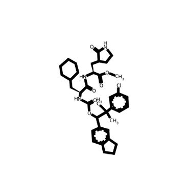 COC(=O)[C@H](CC1CCNC1=O)NC(=O)[C@H](CC1CCCCC1)NC(=O)OC(c1ccc2c(c1)CCC2)C(C)(C)c1cccc(Cl)c1